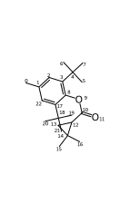 Cc1cc(C(C)(C)C)c(OC(=O)C2CC2(C)C)c(C(C)(C)C)c1